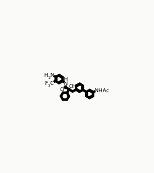 CC(=O)Nc1cccc(-c2cccc(CC(O)(C(=O)Nc3ccc(N)c(C(F)(F)F)c3)C3CCCCC3)c2)c1